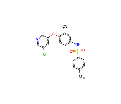 N#Cc1cc(NS(=O)(=O)c2ccc(C(F)(F)F)cc2)ccc1Oc1cncc(Cl)c1